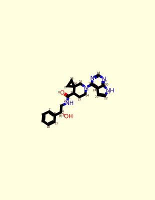 O=C(NC[C@H](O)c1ccccc1)C1CCN(c2ncnc3[nH]ccc23)CC12CC2